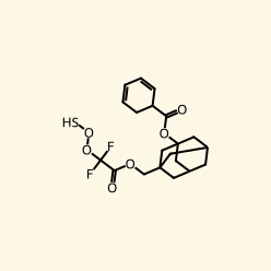 O=C(OC12CC3CC(CC(COC(=O)C(F)(F)OOS)(C3)C1)C2)C1C=CC=CC1